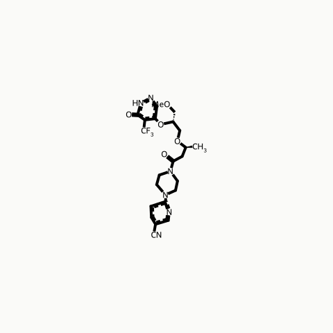 COC[C@H](CO[C@@H](C)CC(=O)N1CCN(c2ccc(C#N)cn2)CC1)Oc1cn[nH]c(=O)c1C(F)(F)F